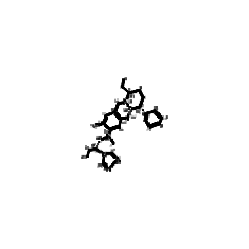 CC[C@H]1CC[C@H](c2ccccc2)SN1Cc1cc(F)c(N(C)C[C@@H](CC)n2cnnc2)cc1F